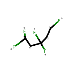 FCCC(F)(F)C[C](F)F